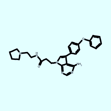 Nc1ncnc2c1c(-c1ccc(Oc3ccccc3)cc1)cn2CCC(=O)NCCN1CCCC1